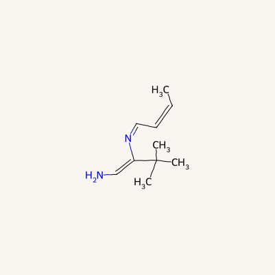 C\C=C/C=N\C(=C/N)C(C)(C)C